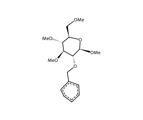 COC[C@H]1O[C@@H](OC)[C@H](OCc2ccccc2)[C@@H](OC)[C@@H]1OC